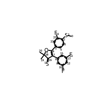 CSc1ccc(C2=C(c3cc(F)cc(F)c3)C(=S)C(C)(C)O2)cc1F